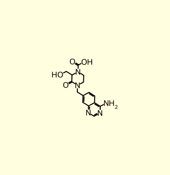 Nc1ncnc2cc(CN3CCN(C(=O)O)C(CO)C3=O)ccc12